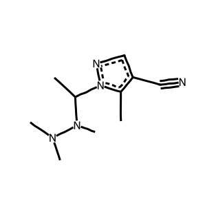 Cc1c(C#N)cnn1C(C)N(C)N(C)C